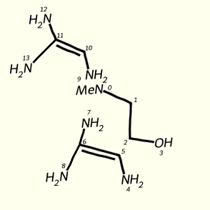 CNCCO.NC=C(N)N.NC=C(N)N